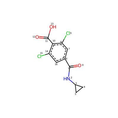 O=C(NC1CC1)c1cc(Cl)c(C(=O)O)c(Cl)c1